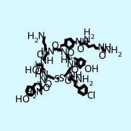 C[C@@H](O)[C@@H]1NC(=O)[C@H](CCCCN)NC(=O)[C@@H](Cc2ccc(NC(=O)[C@@H](N)CCCNC(N)=O)cc2)NC(=O)[C@H](Cc2ccc(O)cc2)NC(=O)[C@H](NC(=O)[C@@H](N)Cc2ccc(Cl)cc2)CSSC[C@@H](C(=O)N[C@H](Cc2ccc(O)cc2)C(N)=O)NC1=O